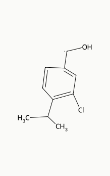 CC(C)c1ccc([CH]O)cc1Cl